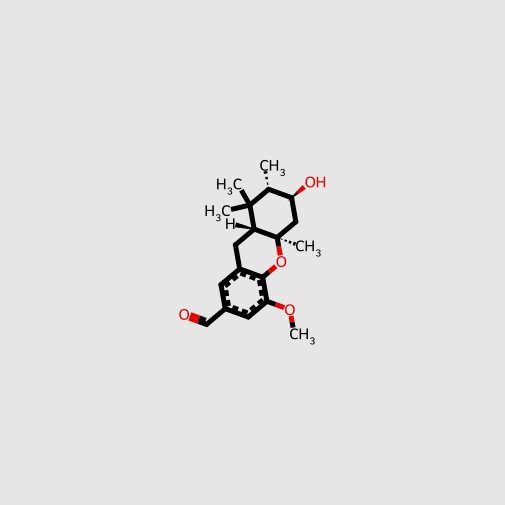 COc1cc(C=O)cc2c1O[C@]1(C)C[C@H](O)[C@@H](C)C(C)(C)[C@H]1C2